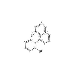 CC(C)(C)c1cccc(C#N)c1-c1cccc2ccccc12